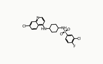 O=S(=O)(NC1CCC(Nc2ccnc3cc(Cl)ccc23)CC1)c1ccc(F)c(Cl)c1